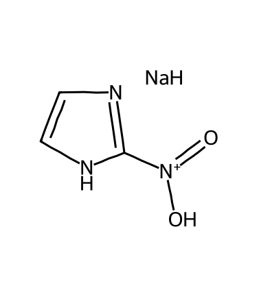 O=[N+](O)c1ncc[nH]1.[NaH]